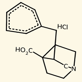 Cl.O=C(O)C12CCN(CC1)CC2Cc1ccccc1